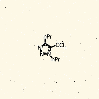 CCCc1nnn(CCC)c1C(Cl)(Cl)Cl